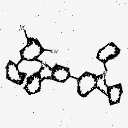 N#Cc1cc(C#N)c(-n2c3ccccc3c3cc(-c4ccc5c6ccccc6n(-c6ccccc6)c5c4)ccc32)c(-c2ccccc2)c1